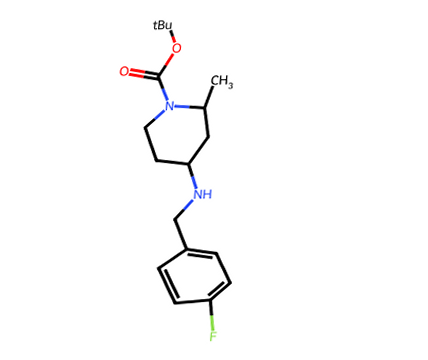 CC1CC(NCc2ccc(F)cc2)CCN1C(=O)OC(C)(C)C